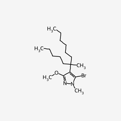 CCCCCCC(C)(CCCCC)c1c(OC)nn(C)c1Br